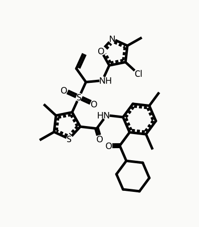 C=CC(Nc1onc(C)c1Cl)S(=O)(=O)c1c(C(=O)Nc2cc(C)cc(C)c2C(=O)C2CCCCC2)sc(C)c1C